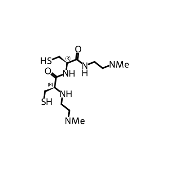 CNCCNC(=O)[C@H](CS)NC(=O)[C@H](CS)NCCNC